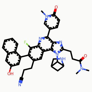 CN(C)C(=O)CCc1nc2c(-c3ccc(=O)n(C)c3)nc3c(F)c(-c4cc(O)cc5ccccc45)c(CCC#N)cc3c2n1C1C2CNC1C2